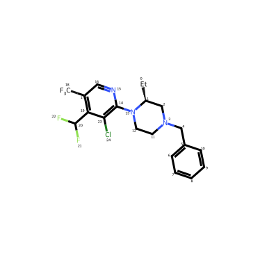 [CH2]C[C@H]1CN(Cc2ccccc2)CCN1c1ncc(C(F)(F)F)c(C(F)F)c1Cl